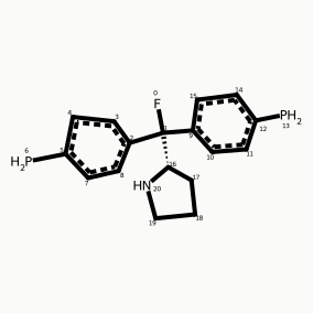 FC(c1ccc(P)cc1)(c1ccc(P)cc1)[C@@H]1CCCN1